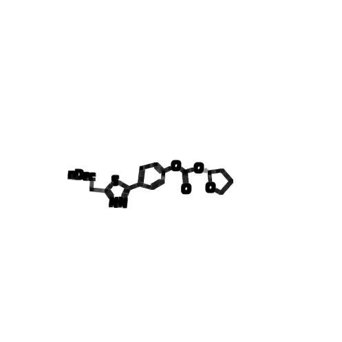 CCCCCCCCCCCc1nnc(-c2ccc(OC(=O)O[C@@H]3CCCO3)cc2)s1